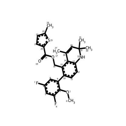 COc1c(F)cc(F)cc1-c1ccc2c(c1COC(=O)c1ccc(C)s1)C(C)=CC(C)(C)N2